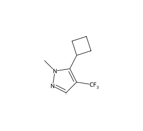 Cn1n[c]c(C(F)(F)F)c1C1CCC1